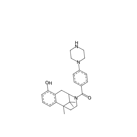 CC12CCN(C(=O)c3ccc(N4CCNCC4)cc3)C(Cc3c(O)cccc31)C2(C)C